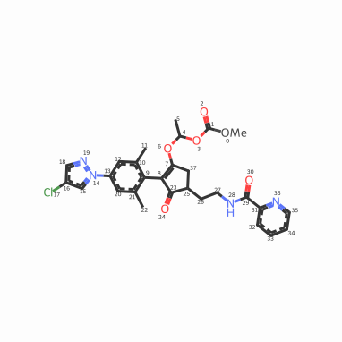 COC(=O)OC(C)OC1=C(c2c(C)cc(-n3cc(Cl)cn3)cc2C)C(=O)C(CCNC(=O)c2ccccn2)C1